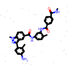 CNC(=O)c1ccc(C(=O)Nc2cc(NC(=O)c3ccc4c(c3)c(-c3ccc(N)cc3C)nn4C)ccc2C)cc1